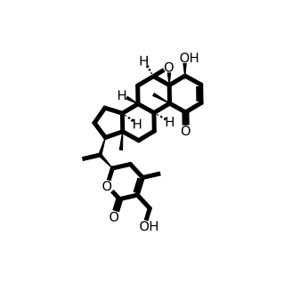 CC1=C(CO)C(=O)O[C@@H](C(C)[C@H]2CC[C@H]3[C@@H]4C[C@H]5O[C@]56[C@@H](O)C=CC(=O)[C@]6(C)[C@H]4CC[C@]23C)C1